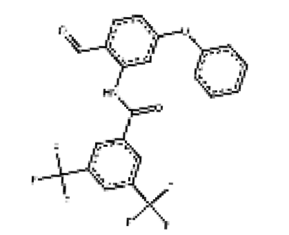 O=Cc1ccc(Oc2ccccc2)cc1NC(=O)c1cc(C(F)(F)F)cc(C(F)(F)F)c1